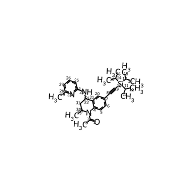 CC(=O)N1c2ccc(C#C[Si](C(C)C)(C(C)C)C(C)C)cc2[C@H](Nc2cccc(C)n2)C[C@@H]1C